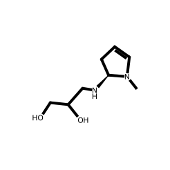 CN1C=CC[C@@H]1NCC(O)CO